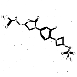 CC(=O)NC[C@H]1CN(c2ccc(N3CC(NS(C)(=O)=O)C3)c(F)c2)C(=O)O1